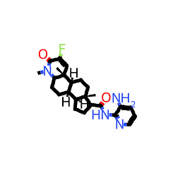 CN1C(=O)C(F)=C[C@@]2(C)C1CC[C@@H]1[C@H]2CC[C@]2(C)C(C(=O)Nc3ncccc3N)CC[C@@H]12